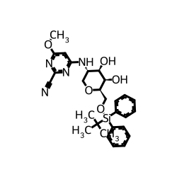 COc1cc(N[C@H]2CO[C@H](CO[Si](c3ccccc3)(c3ccccc3)C(C)(C)C)[C@H](O)[C@@H]2O)nc(C#N)n1